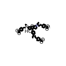 CCN(CCc1ccc([N+](=O)[O-])cc1)c1ccc(-c2c3cc/c(=[N+](/CC)CCc4ccc([N+](=O)[O-])cc4)cc-3oc3cc(N(CC)CCc4ccc([N+](=O)[O-])cc4)ccc23)c(O)c1